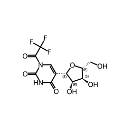 O=C(n1cc([C@@H]2O[C@H](CO)[C@@H](O)[C@H]2O)c(=O)[nH]c1=O)C(F)(F)F